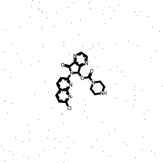 O=C(OC1c2nccnc2C(=O)N1c1ccc2ccc(Cl)nc2n1)N1CCNCC1